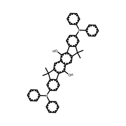 CC1(C)c2cc(N(c3ccccc3)c3ccccc3)ccc2-c2c1cc1c(O)c3c(cc1c2O)C(C)(C)c1cc(N(c2ccccc2)c2ccccc2)ccc1-3